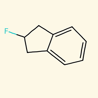 FC1Cc2ccccc2C1